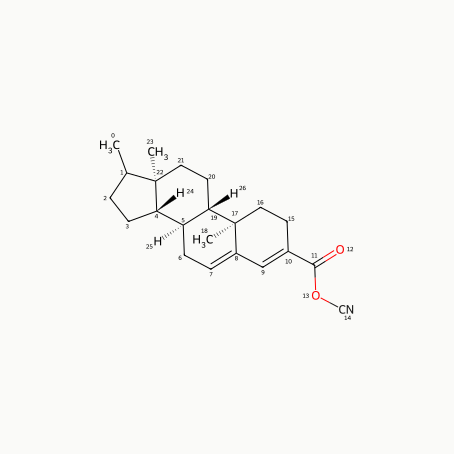 CC1CC[C@H]2[C@@H]3CC=C4C=C(C(=O)OC#N)CC[C@]4(C)[C@H]3CC[C@]12C